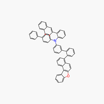 c1ccc(-c2ccc(N(c3cccc(-c4ccccc4-c4cccc5c4ccc4oc6ccccc6c45)c3)c3ccccc3-c3ccc4ccccc4c3)cc2)cc1